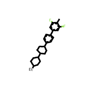 CCC1CCC(C2CCC(c3ccc(-c4cc(F)c(C)c(F)c4)cc3)CC2)CC1